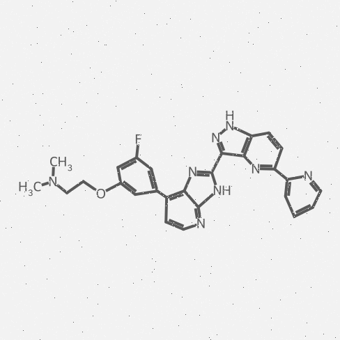 CN(C)CCOc1cc(F)cc(-c2ccnc3[nH]c(-c4n[nH]c5ccc(-c6ccccn6)nc45)nc23)c1